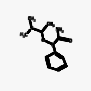 CC(ON(C(N)=O)c1ccccc1)N(C)C